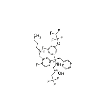 CCCCNCc1cc([C@@](Cc2ccccc2)(NC[C@H](O)CC(F)(F)F)c2cc(F)cc(OC(F)(F)C(F)F)c2)ccc1F